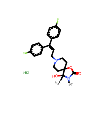 CC(C)N1C(=O)OC2(CCN(CC=C(c3ccc(F)cc3)c3ccc(F)cc3)CC2)C1(C)O.Cl